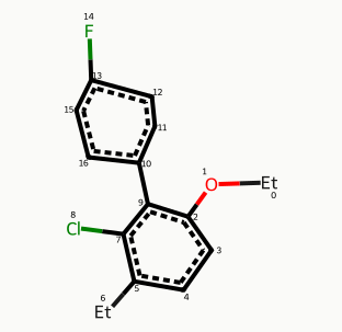 CCOc1ccc(CC)c(Cl)c1-c1ccc(F)cc1